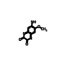 COc1cc2c(cc1[NH])=NC(=O)C(=O)N=2